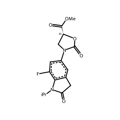 COC(=O)[C@H]1CN(c2cc(F)c3c(c2)CC(=O)N3C(C)C)C(=O)O1